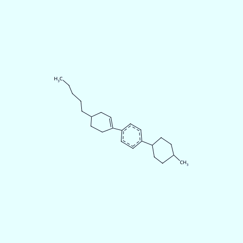 CCCCCC1CC=C(c2ccc(C3CCC(C)CC3)cc2)CC1